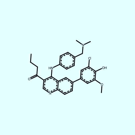 CCCC(=O)c1cnc2ccc(-c3cc(Cl)c(O)c(OC)c3)cc2c1Nc1ccc(CN(C)C)cc1